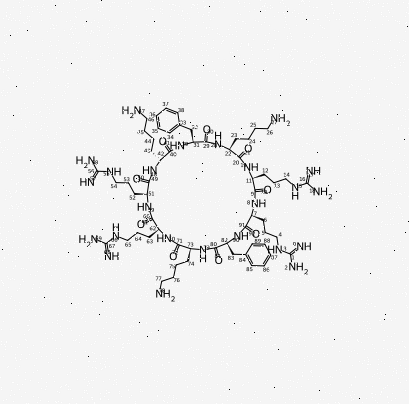 N=C(N)NCCC[C@@H]1NC(=O)[C@H](CCCNC(=N)N)NC(=O)[C@H](CCCCN)NC(=O)[C@H](Cc2ccccc2)NC(=O)[C@@H](CCCCN)NC(=O)[C@H](CCCNC(=N)N)NC(=O)[C@H](CCCNC(=N)N)NC(=O)[C@H](CCCCN)NC(=O)[C@H](Cc2ccccc2)NC1=O